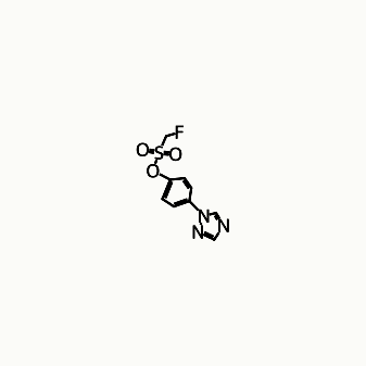 O=S(=O)(CF)Oc1ccc(-n2cncn2)cc1